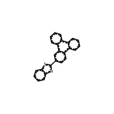 c1ccc2sc(-c3ccc4c5ccccc5c5ccccc5c4c3)nc2c1